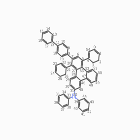 C1=CCCC(c2cc(-c3ccc(-c4ccccc4)cc3)c(C3=CC=CCC3)c3c4ccc(N(c5ccccc5)c5ccccc5)cc4c4ccccc4c23)=C1